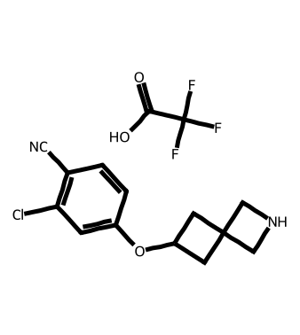 N#Cc1ccc(OC2CC3(CNC3)C2)cc1Cl.O=C(O)C(F)(F)F